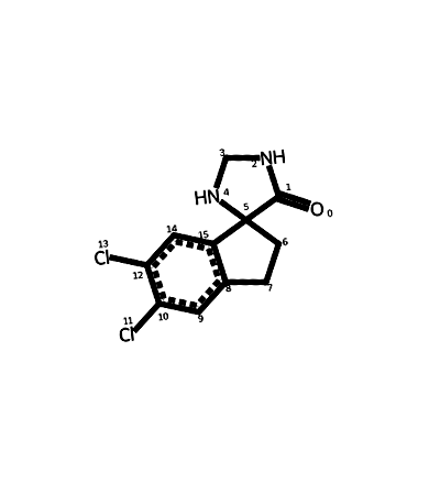 O=C1NCNC12CCc1cc(Cl)c(Cl)cc12